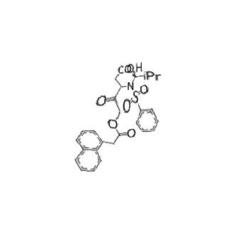 CC(C)C(=O)N(C(CC(=O)O)C(=O)COC(=O)Cc1cccc2ccccc12)S(=O)(=O)c1ccccc1